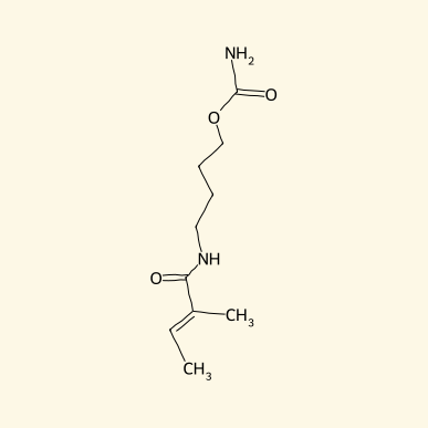 C/C=C(\C)C(=O)NCCCCOC(N)=O